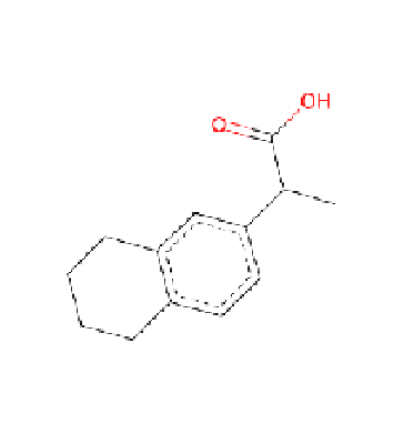 CC(C(=O)O)c1ccc2c(c1)CCCC2